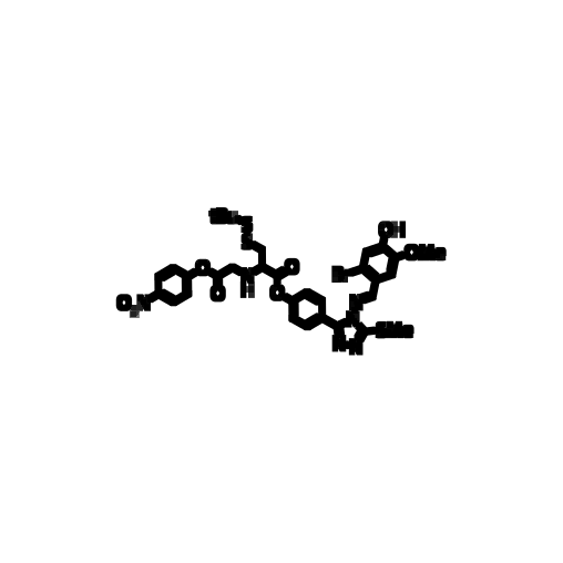 COc1cc(/C=N/n2c(SC)nnc2-c2ccc(OC(=O)C(CSSC(C)(C)C)NCC(=O)Oc3ccc([N+](=O)[O-])cc3)cc2)c(Br)cc1O